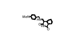 CNc1ccc(CN/C=C2\C(=O)NC(=O)c3ccccc32)cc1